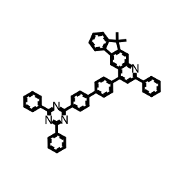 CC1(C)c2ccccc2-c2cc3c(-c4ccc(-c5ccc(-c6nc(-c7ccccc7)nc(-c7ccccc7)n6)cc5)cc4)cc(-c4ccccc4)nc3cc21